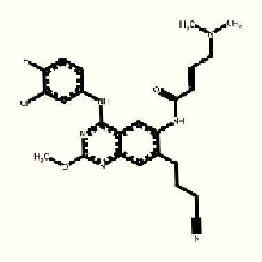 COc1nc(Nc2ccc(F)c(Cl)c2)c2cc(NC(=O)C=CCN(C)C)c(CCCC#N)cc2n1